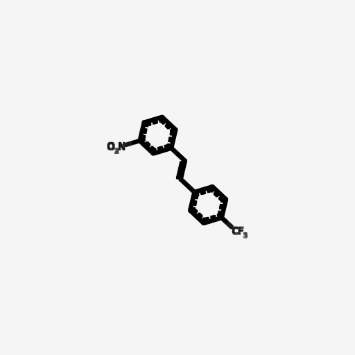 O=[N+]([O-])c1cccc(C=Cc2ccc(C(F)(F)F)cc2)c1